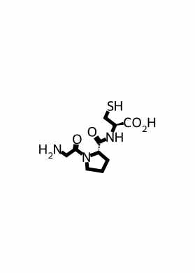 NCC(=O)N1CCC[C@H]1C(=O)N[C@@H](CS)C(=O)O